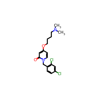 CN(C)CCCCOc1ccn(Cc2ccc(Cl)cc2Cl)c(=O)c1